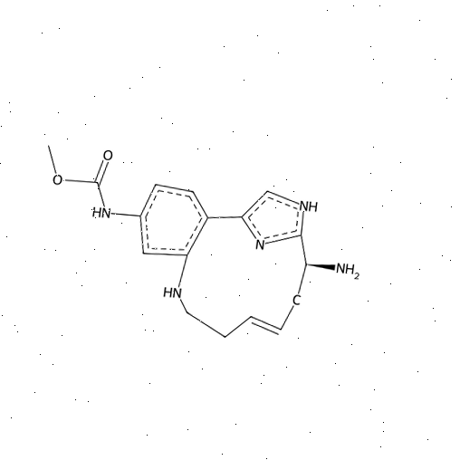 COC(=O)Nc1ccc2c(c1)NCC/C=C/C[C@H](N)c1nc-2c[nH]1